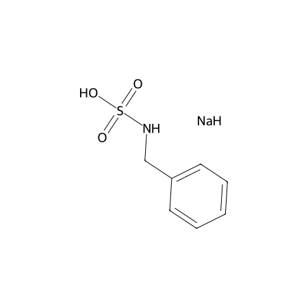 O=S(=O)(O)NCc1ccccc1.[NaH]